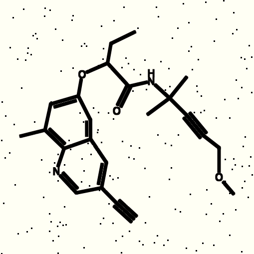 C#Cc1cnc2c(C)cc(OC(CC)C(=O)NC(C)(C)C#CCOC)cc2c1